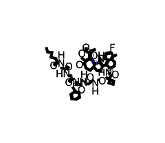 CCCCCC(=O)NCC(=O)NCC(=O)N[C@@H](Cc1ccccc1)C(=O)NCC(=O)NCOCC1(C(=O)N[C@H]2CCc3c(C)c(F)cc4nc5c(c2c34)CCC2CCC(=O)C3=C(/C=C/52)[C@@](O)(CC)C(=O)OC3)CCC1